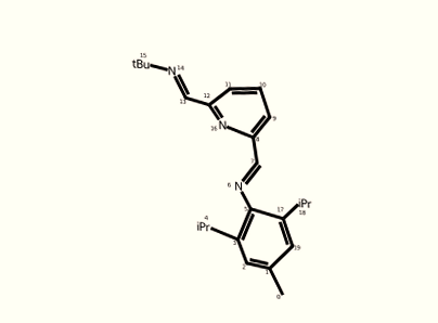 Cc1cc(C(C)C)c(N=Cc2cccc(C=NC(C)(C)C)n2)c(C(C)C)c1